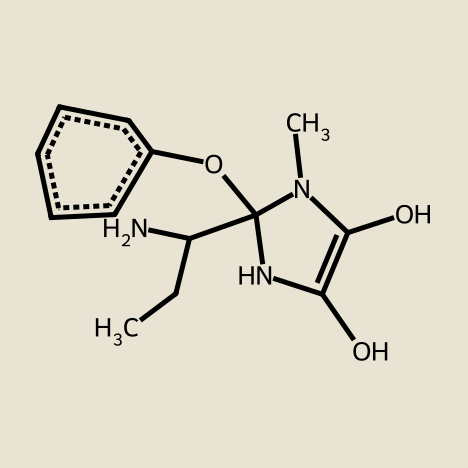 CCC(N)C1(Oc2ccccc2)NC(O)=C(O)N1C